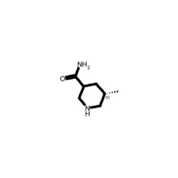 C[C@@H]1CNCC(C(N)=O)C1